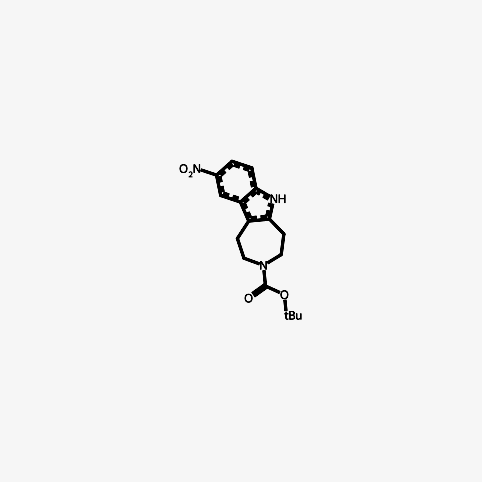 CC(C)(C)OC(=O)N1CCc2[nH]c3ccc([N+](=O)[O-])cc3c2CC1